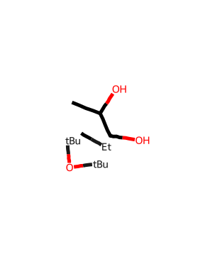 CC(C)(C)OC(C)(C)C.CC(O)CO.CCC